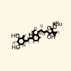 C=C1/C(=C\C=C2/CCC[C@]3(C)[C@@H]([C@H](C)/C=C/[C@@H](O)C4(C(=O)OCCCC)CC4)CC[C@@H]23)C[C@@H](O)[C@H](C)[C@@H]1O